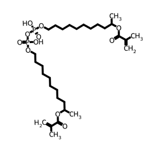 C=C(C)C(=O)OC(C)CCCCCCCCCOP(=O)(O)OP(=O)(O)OCCCCCCCCCC(C)OC(=O)C(=C)C